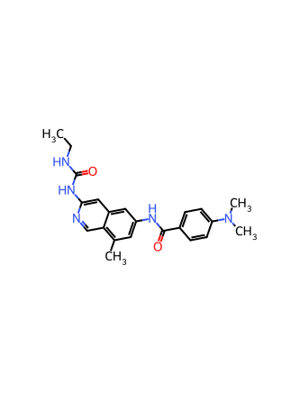 CCNC(=O)Nc1cc2cc(NC(=O)c3ccc(N(C)C)cc3)cc(C)c2cn1